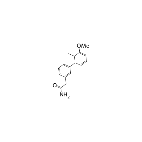 COC1=CC=CC(c2cccc(CC(N)=O)c2)C1C